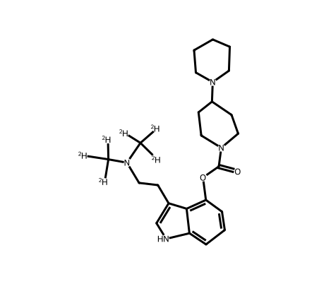 [2H]C([2H])([2H])N(CCc1c[nH]c2cccc(OC(=O)N3CCC(N4CCCCC4)CC3)c12)C([2H])([2H])[2H]